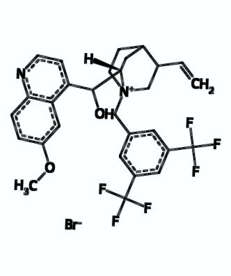 C=CC1C[N+]2(Cc3cc(C(F)(F)F)cc(C(F)(F)F)c3)CCC1C[C@H]2C(O)c1ccnc2ccc(OC)cc12.[Br-]